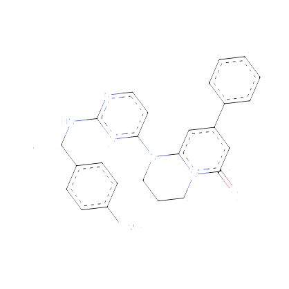 COc1ccc([C@H](C)Nc2nccc(N3CCCn4c3cc(-c3ccccc3)cc4=O)n2)cc1